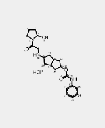 Cl.N#CC1CCCN1C(=O)CNC1CC2CC(OC(=O)Nc3ccccc3)CC2C1